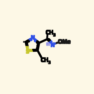 CO/N=C(\C)c1n[c]sc1C